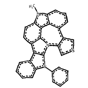 Cn1c2cccc3c4cscc4n4c5c(ccc1c5c32)c1c2ccccc2n(-c2ccccc2)c14